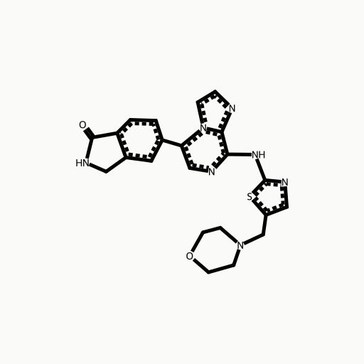 O=C1NCc2cc(-c3cnc(Nc4ncc(CN5CCOCC5)s4)c4nccn34)ccc21